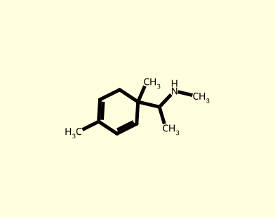 CNC(C)C1(C)C=CC(C)=CC1